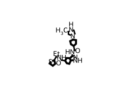 CCC(NC(=O)c1ccc2[nH]nc(NC(=O)c3ccc(N4CCN[C@@H](C)C4)cc3)c2c1)c1cccs1